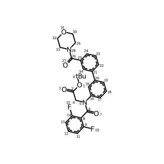 CC(C)(C)OC(=O)CN(C(=O)c1c(F)cccc1F)c1cccc(-c2cccc(C(=O)N3CCOCC3)c2)c1